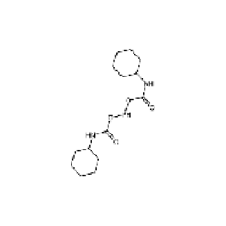 O=C(NC1CCCCC1)OPOC(=O)NC1CCCCC1